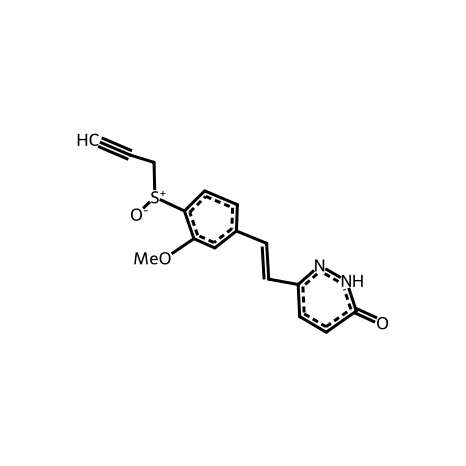 C#CC[S+]([O-])c1ccc(C=Cc2ccc(=O)[nH]n2)cc1OC